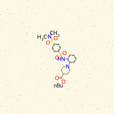 CCCCOC(=O)C1CCN(c2ccccc2NS(=O)(=O)c2ccc(S(=O)(=O)N(C)C)cc2)CC1